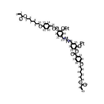 C=CC(=O)OCCCCCCOc1ccc(COOc2ccc(/C=N/N=C/c3ccc(OC(=O)c4ccc(OCCCCCCOC(=O)C=C)cc4)c(OCC)c3)cc2OCC)cc1